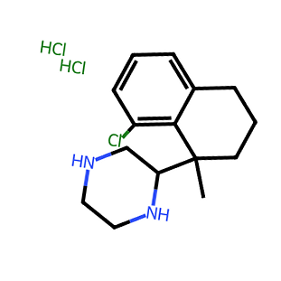 CC1(C2CNCCN2)CCCc2cccc(Cl)c21.Cl.Cl